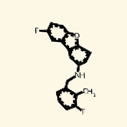 Cc1c(F)cccc1CNc1ccc2oc3ccc(F)cc3c2c1